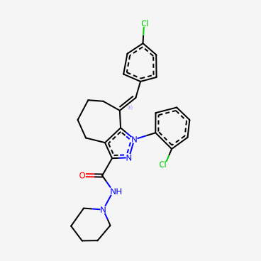 O=C(NN1CCCCC1)c1nn(-c2ccccc2Cl)c2c1CCCC/C2=C\c1ccc(Cl)cc1